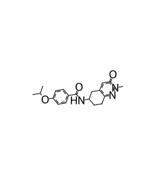 CC(C)Oc1ccc(C(=O)NC2CCc3nn(C)c(=O)cc3C2)cc1